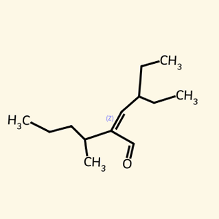 CCCC(C)/C(C=O)=C/C(CC)CC